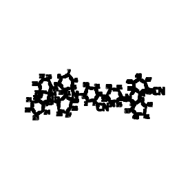 N#Cc1cc(-n2c3ccccc3c3c(-n4c5ccccc5c5ccccc54)cccc32)ccc1-c1ccc(-n2c3ccccc3c3c(C#N)cccc32)cc1